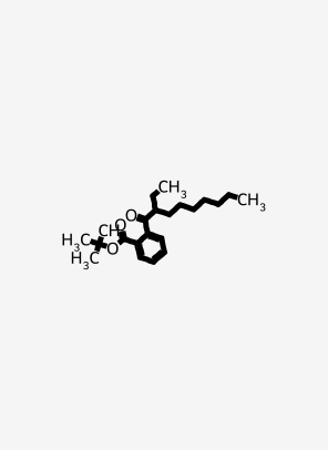 CCCCCCCC(CC)C(=O)c1ccccc1C(=O)OC(C)(C)C